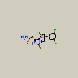 NC(=O)Cc1[nH]c(=S)n2c1[C@@H]1C[C@]1(c1cc(F)cc(F)c1)C2